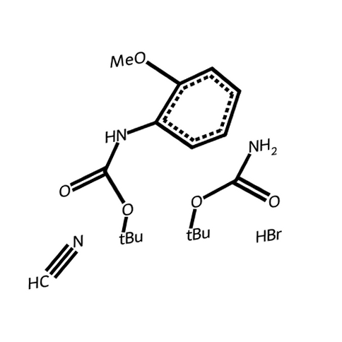 Br.C#N.CC(C)(C)OC(N)=O.COc1ccccc1NC(=O)OC(C)(C)C